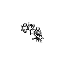 CC1(C)[C@@H](NC(=O)c2cc3c(cn2)OCCO3)C2CCN1CC2